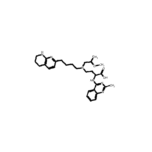 COC(C)CN(CCCCc1ccc2c(n1)NCCC2)CCC(Nc1nc(C)nc2ccccc12)C(=O)O